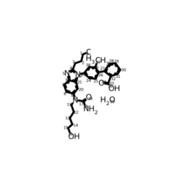 CCCCc1nc2ccc(N(CCCCCO)C(N)=O)cc2n1-c1ccc(-c2ccccc2C(=O)O)c(C)c1.O